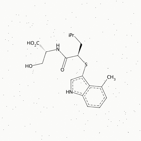 Cc1cccc2[nH]cc(S[C@H](CC(C)C)C(=O)N[C@H](CO)C(=O)O)c12